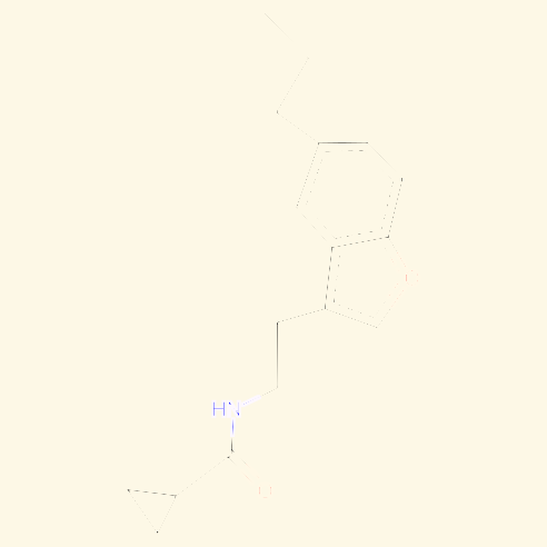 CCCc1ccc2occ(CCNC(=O)C3CC3)c2c1